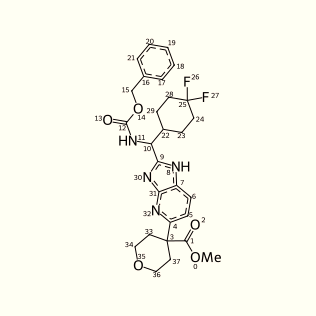 COC(=O)C1(c2ccc3[nH]c(C(NC(=O)OCc4ccccc4)C4CCC(F)(F)CC4)nc3n2)CCOCC1